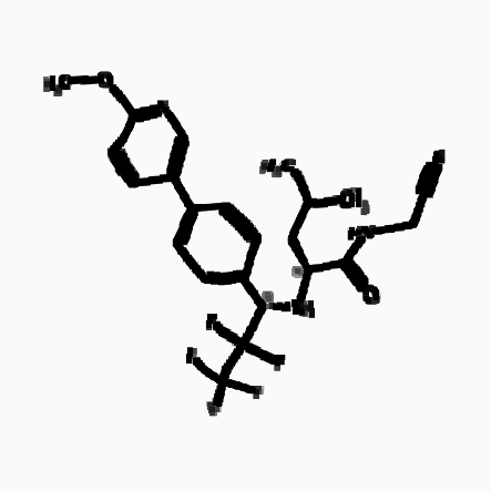 COc1ccc(-c2ccc([C@H](N[C@@H](CC(C)C)C(=O)NCC#N)C(F)(F)C(F)(F)F)cc2)cn1